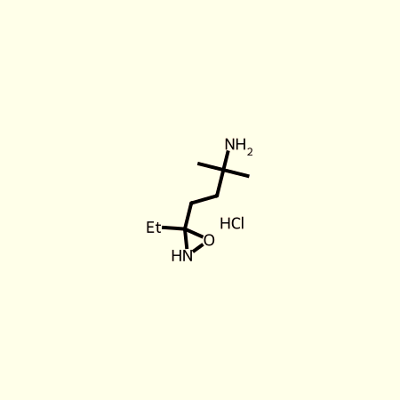 CCC1(CCC(C)(C)N)NO1.Cl